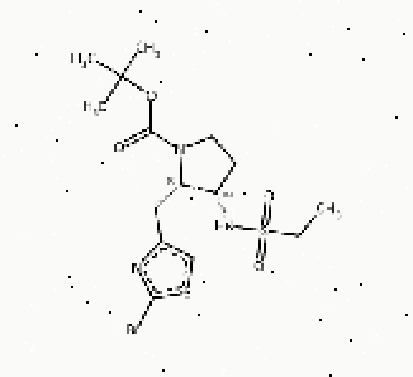 CCS(=O)(=O)N[C@H]1CCN(C(=O)OC(C)(C)C)[C@H]1Cc1csc(Br)n1